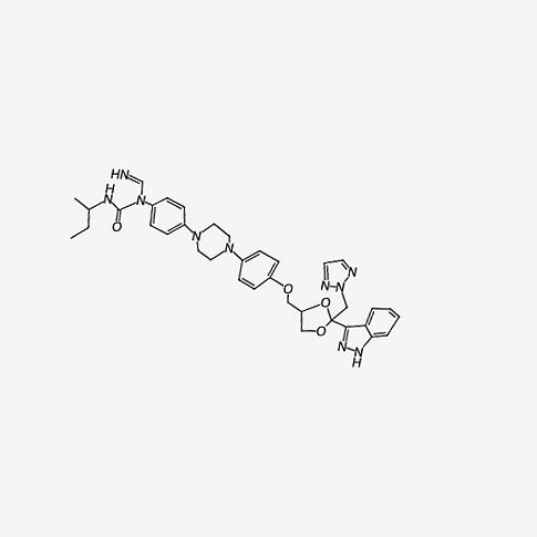 CCC(C)NC(=O)N(C=N)c1ccc(N2CCN(c3ccc(OCC4COC(Cn5nccn5)(c5n[nH]c6ccccc56)O4)cc3)CC2)cc1